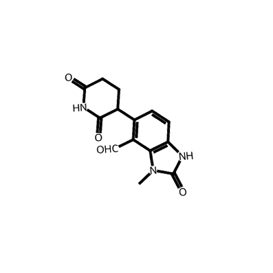 Cn1c(=O)[nH]c2ccc(C3CCC(=O)NC3=O)c(C=O)c21